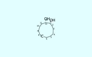 O[C@@H]1CCCCCCCCCC[C@@H]1O